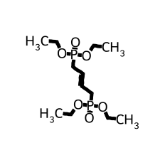 CCOP(=O)(C/C=C/CP(=O)(OCC)OCC)OCC